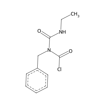 CCNC(=O)N(Cc1ccccc1)C(=O)Cl